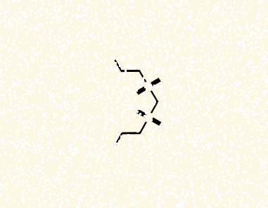 CCCS(=O)(=O)CS(=O)(=O)CCC